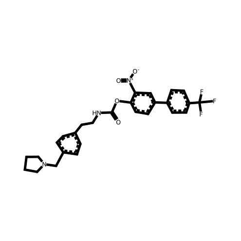 O=C(NCCc1ccc(CN2CCCC2)cc1)Oc1ccc(-c2ccc(C(F)(F)F)cc2)cc1[N+](=O)[O-]